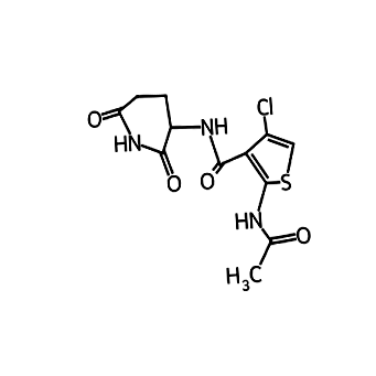 CC(=O)Nc1scc(Cl)c1C(=O)NC1CCC(=O)NC1=O